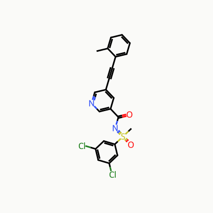 Cc1ccccc1C#Cc1cncc(C(=O)N=S(C)(=O)c2cc(Cl)cc(Cl)c2)c1